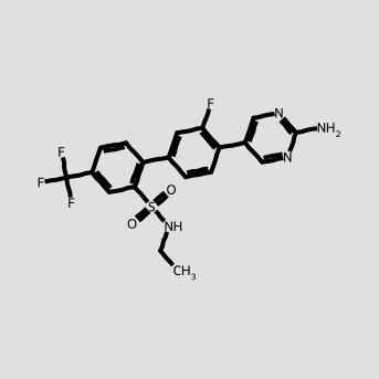 CCNS(=O)(=O)c1cc(C(F)(F)F)ccc1-c1ccc(-c2cnc(N)nc2)c(F)c1